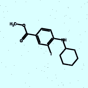 COC(=O)c1ccc(NC2CCCCC2)c(I)c1